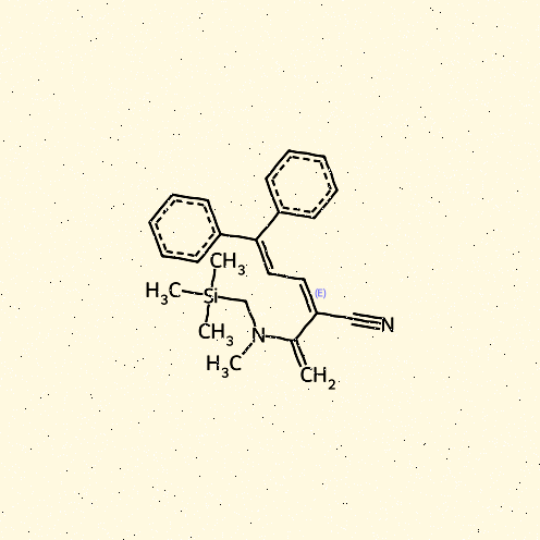 C=C(/C(C#N)=C\C=C(c1ccccc1)c1ccccc1)N(C)C[Si](C)(C)C